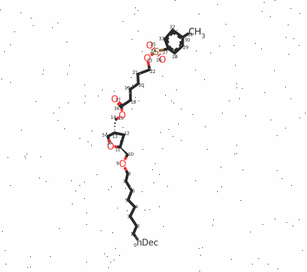 CCCCCCCCCCCCCCCCCCOC[C@@H]1C[C@@H](COC(=O)CCCCCOS(=O)(=O)c2ccc(C)cc2)CO1